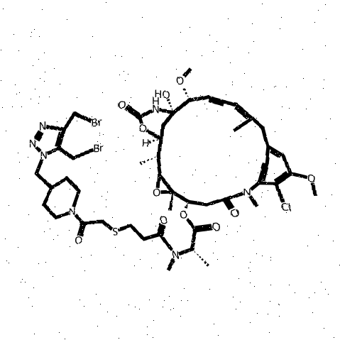 COc1cc2cc(c1Cl)N(C)C(=O)C[C@H](OC(=O)[C@H](C)N(C)C(=O)CCSCC(=O)N1CCC(Cn3nnc(CBr)c3CBr)CC1)[C@]1(C)OC1[C@H](C)[C@@H]1C[C@@](O)(NC(=O)O1)[C@H](OC)/C=C/C=C(\C)C2